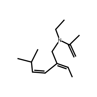 C=C(C)N(CC)CC(/C=C\C(C)C)=C/C